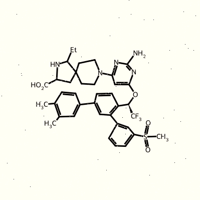 CCC1NC(C(=O)O)CC12CCN(c1cc(O[C@H](c3ccc(-c4ccc(C)c(C)c4)cc3-c3cccc(S(C)(=O)=O)c3)C(F)(F)F)nc(N)n1)CC2